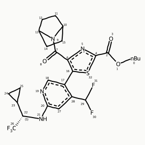 CCCCOC(=O)c1nc(C(=O)N2C3CCC2CC3)c(-c2cnc(N[C@@H](C3CC3)C(F)(F)F)cc2C(F)F)s1